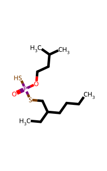 CCCCC(CC)CSP(=O)(S)OCCC(C)C